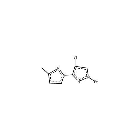 CCn1cc(Cl)c(-n2ccc(C)n2)n1